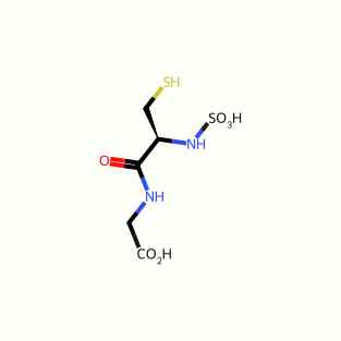 O=C(O)CNC(=O)[C@@H](CS)NS(=O)(=O)O